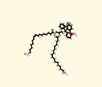 CCCCCCCC/C=C\CCCCCCCC(=O)OCC(COC(c1ccccc1)(c1ccccc1OC)c1ccccc1OC)OC(=O)CCCCCCC/C=C\CCCCCCCC